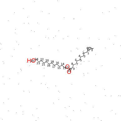 CC(C)CCCCCCCCCC(=O)OCCCCCCCCCCCCO